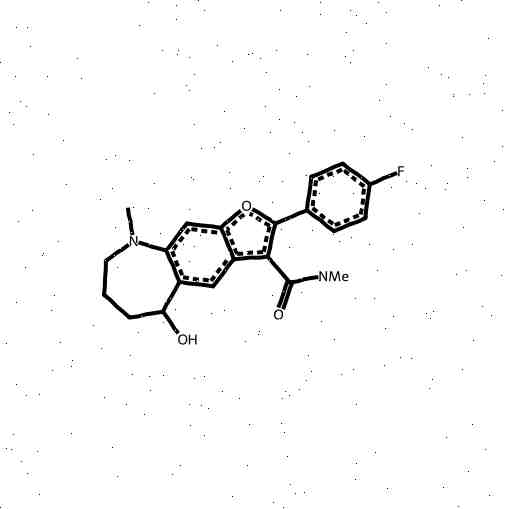 CNC(=O)c1c(-c2ccc(F)cc2)oc2cc3c(cc12)C(O)CCCN3C